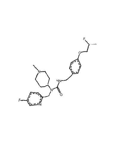 C[C@@H](F)COc1ccc(CNC(=O)N(Cc2ccc(F)cn2)C2CCN(C)CC2)cc1